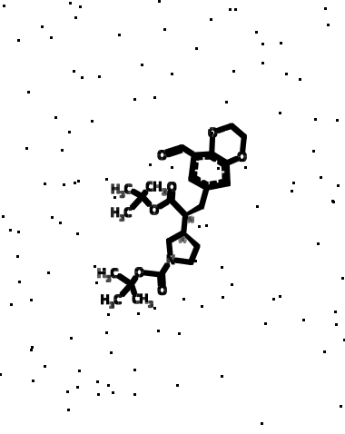 CC(C)(C)OC(=O)[C@@H](Cc1cc(C=O)c2c(c1)OCCO2)[C@H]1CCN(C(=O)OC(C)(C)C)C1